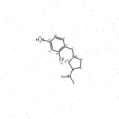 CN(C)C1CCN(Cc2ccc(N)cc2C(F)(F)F)C1